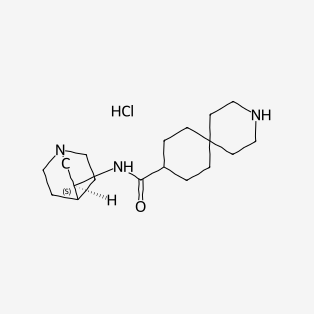 Cl.O=C(N[C@@H]1CN2CCC1CC2)C1CCC2(CCNCC2)CC1